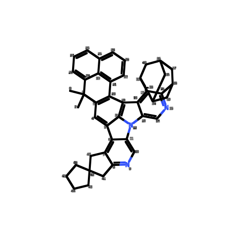 CC1(C)c2cc3c4c5c(ncc4n4c6cnc7c(c6c(c2-c2cccc6cccc1c26)c34)C1CC2CC(CC7C2)C1)CC1(CCCC1)C5